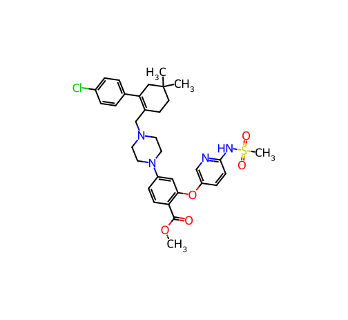 COC(=O)c1ccc(N2CCN(CC3=C(c4ccc(Cl)cc4)CC(C)(C)CC3)CC2)cc1Oc1ccc(NS(C)(=O)=O)nc1